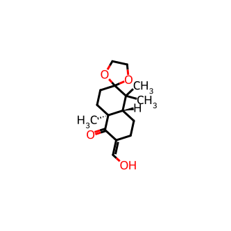 CC1(C)[C@@H]2CC/C(=C\O)C(=O)[C@@]2(C)CCC12OCCO2